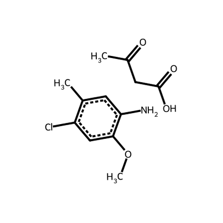 CC(=O)CC(=O)O.COc1cc(Cl)c(C)cc1N